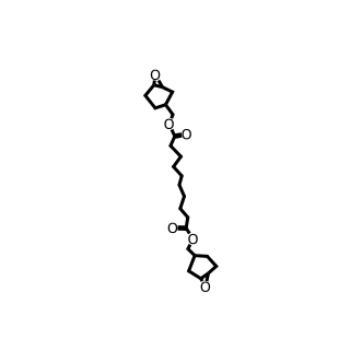 O=C(CCCCCCCCC(=O)OCC1CCC2OC2C1)OCC1CCC2OC2C1